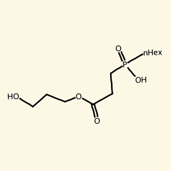 CCCCCCP(=O)(O)CCC(=O)OCCCO